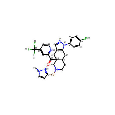 Cn1ccc(SN2CCC3Cc4c(cnn4-c4ccc(F)cc4)CC3(C(=O)c3cc(C(F)(F)F)ccn3)C2)n1